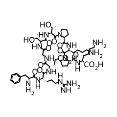 C[C@@H](O)[C@H](NC(=O)CNC(=O)[C@H](CCC(=O)O)NC(=O)[C@H](CCCNC(=N)N)NC(=O)[C@@H](N)Cc1ccccc1)C(=O)N[C@H](C(=O)N1CCC[C@H]1C(=O)N[C@@H](CCCCN)C(=O)N1CCC[C@H]1C(=O)N[C@@H](CCCCN)C(=O)O)[C@@H](C)O